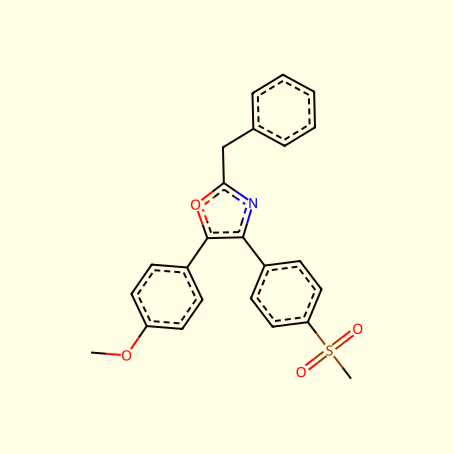 COc1ccc(-c2oc(Cc3ccccc3)nc2-c2ccc(S(C)(=O)=O)cc2)cc1